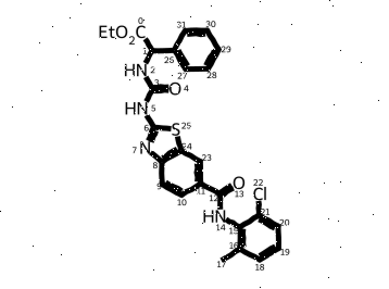 CCOC(=O)C(NC(=O)Nc1nc2ccc(C(=O)Nc3c(C)cccc3Cl)cc2s1)c1ccccc1